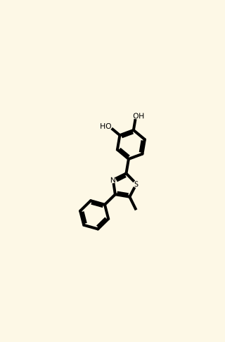 Cc1sc(-c2ccc(O)c(O)c2)nc1-c1ccccc1